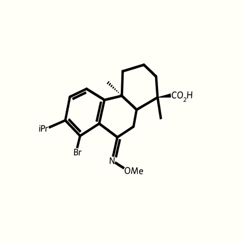 CO/N=C1\CC2[C@](C)(C(=O)O)CCC[C@]2(C)c2ccc(C(C)C)c(Br)c21